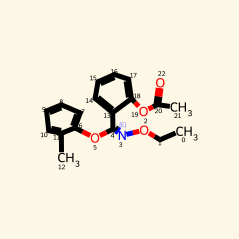 CCO/N=C(/Oc1ccccc1C)c1ccccc1OC(C)=O